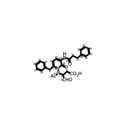 CC(=O)N(C(C=O)CC(=O)O)n1c(Cc2ccccc2)ccc(NC(=O)CCc2ccccc2)c1=O